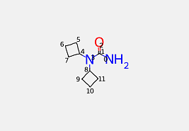 NC(=O)N(C1CCC1)C1CCC1